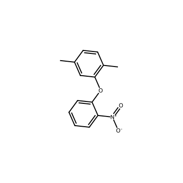 Cc1ccc(C)c(Oc2ccccc2[N+](=O)[O-])c1